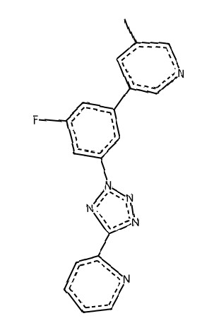 Cc1cncc(-c2cc(F)cc(-n3nnc(-c4ccccn4)n3)c2)c1